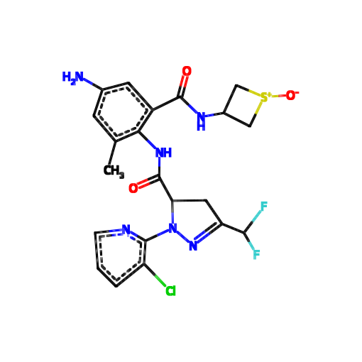 Cc1cc(N)cc(C(=O)NC2C[S+]([O-])C2)c1NC(=O)C1CC(C(F)F)=NN1c1ncccc1Cl